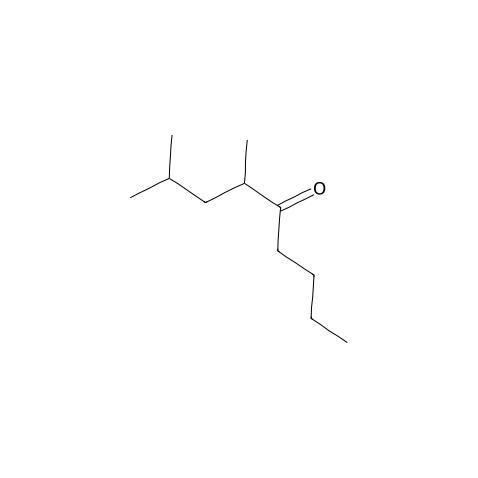 CCCCC(=O)C(C)CC(C)C